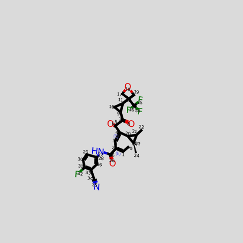 C/C=C(\C=C(\C(=O)C(=O)C1CC1C1(C(F)(F)F)COC1)C1C(C)[C@H]1C)C(=O)Nc1ccc(F)c(C#N)c1